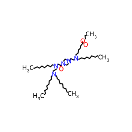 CCCCCCCCCN(CCCCCC(=O)OCCC)CCN1CCN(C(=O)CN(CCCCCCCCC)CCN(CCCCCCCCC)CCCCCCCCC)CC1